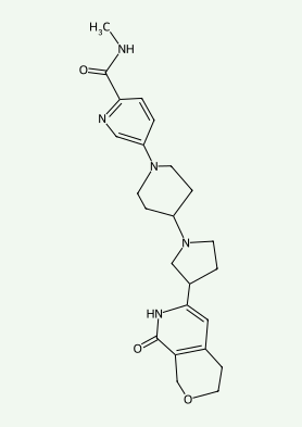 CNC(=O)c1ccc(N2CCC(N3CCC(c4cc5c(c(=O)[nH]4)COCC5)C3)CC2)cn1